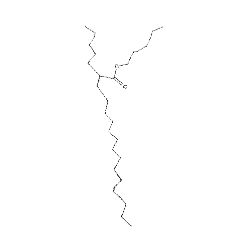 CCCCCCCCCCCCCCC(CCCCC)C(=O)OCCCCC